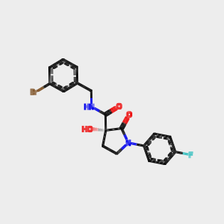 O=C(NCc1cccc(Br)c1)[C@]1(O)CCN(c2ccc(F)cc2)C1=O